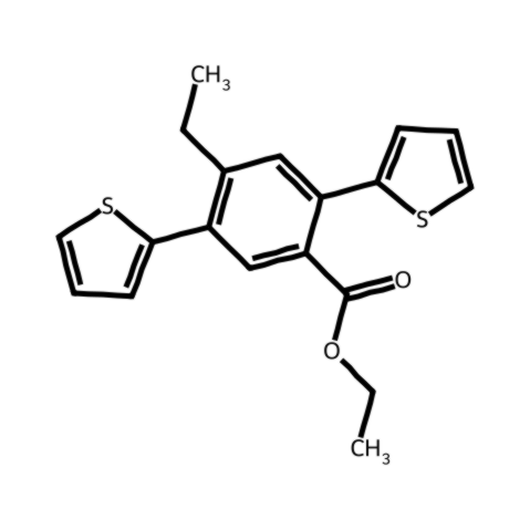 CCOC(=O)c1cc(-c2cccs2)c(CC)cc1-c1cccs1